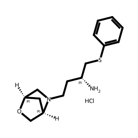 Cl.N[C@H](CCN1C[C@H]2C[C@@H]1CO2)CSc1ccccc1